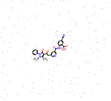 Cc1c(C(=O)Cc2cncc(C(=O)Nc3ccc(C#N)cc3C(=O)O)c2)c(=O)n(-c2ccccc2)n1C